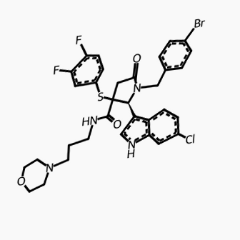 O=C1CC(Sc2ccc(F)c(F)c2)(C(=O)NCCCN2CCOCC2)[C@H](c2c[nH]c3cc(Cl)ccc23)N1Cc1ccc(Br)cc1